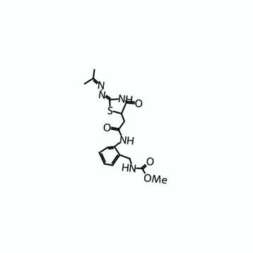 COC(=O)NCc1ccccc1NC(=O)CC1SC(=NN=C(C)C)NC1=O